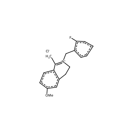 COc1ccc2c(c1)CC[N+](Cc1ccccc1F)=C2C.[Cl-]